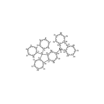 c1ccc(C2(c3ccccc3)c3ccccc3-c3ccc(-n4c5ccccc5c5ccccc54)cc32)cc1